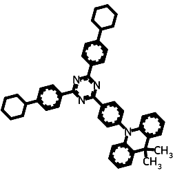 CC1(C)c2ccccc2N(c2ccc(-c3nc(-c4ccc(C5CCCCC5)cc4)nc(-c4ccc(C5CCCCC5)cc4)n3)cc2)c2ccccc21